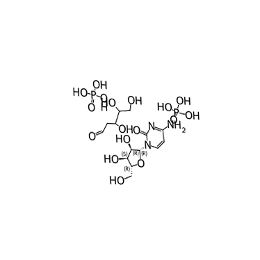 Nc1ccn([C@@H]2O[C@H](CO)[C@@H](O)[C@H]2O)c(=O)n1.O=CCC(O)C(O)CO.O=P(O)(O)O.O=P(O)(O)O